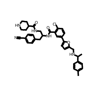 Cc1ccc(C(C)NCc2ccc(-c3ccc(Cl)c(C(=O)NC(CNC(=O)C4CCNCC4)Cc4ccc(C#N)cc4)c3)o2)cc1